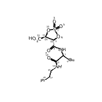 CCC(C)C(NC(=O)[C@H]1OS(=O)(=O)O[C@@H]1C(=O)O)C(=O)NCCC(C)C